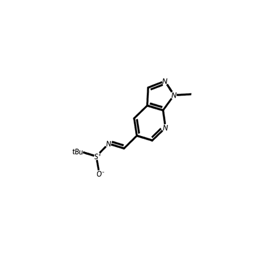 Cn1ncc2cc(C=N[S+]([O-])C(C)(C)C)cnc21